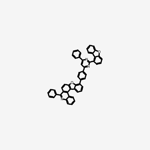 c1ccc(-c2cc(-c3ccc(-c4cccc5c4oc4ccc6c(-c7ccccc7)nc7ccccc7c6c45)cc3)nc(-c3cccc4oc5ccccc5c34)n2)cc1